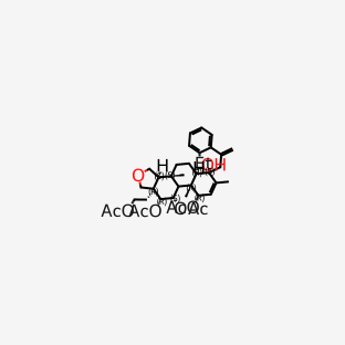 C=C(C[C@@]1(O)C(C)=C[C@@H](OC(C)=O)[C@]2(C)C3[C@H](OC(C)=O)[C@H](OC(C)=O)[C@@]4(CCOC(C)=O)COC[C@H]4[C@]3(C)CC[C@H]21)c1ccccc1CC